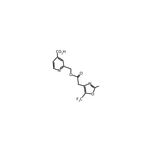 Cc1nc(CC(=O)OCc2cc(C(=O)O)ccn2)c(C(F)(F)F)o1